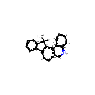 CC1(C)c2ccccc2-c2ccc3cnc4ccccc4c3c21